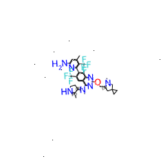 Cc1cc(N)nc(-c2c(C(F)(F)F)cc3c(N(C)[C@@H]4CCN[C@@H]4C)nc(OC[C@@H]4CC5(CC5)CN4C)nc3c2F)c1C(F)(F)F